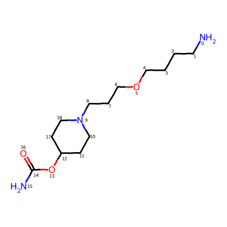 NCCCCOCCCN1CCC(OC(N)=O)CC1